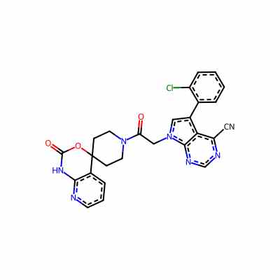 N#Cc1ncnc2c1c(-c1ccccc1Cl)cn2CC(=O)N1CCC2(CC1)OC(=O)Nc1ncccc12